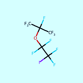 FC(F)(F)C(F)(OC(F)(F)C(F)(F)I)C(F)(F)F